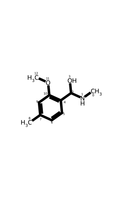 CNC(O)c1ccc(C)cc1OC